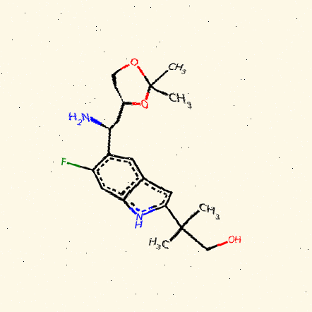 CC1(C)OC[C@H]([C@H](N)c2cc3cc(C(C)(C)CO)[nH]c3cc2F)O1